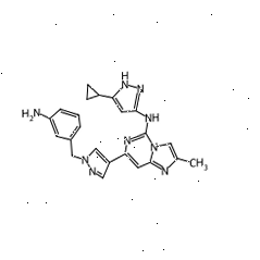 Cc1cn2c(Nc3cc(C4CC4)[nH]n3)nc(-c3cnn(Cc4cccc(N)c4)c3)cc2n1